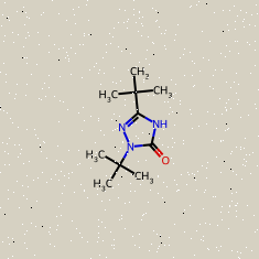 CC(C)(C)c1nn(C(C)(C)C)c(=O)[nH]1